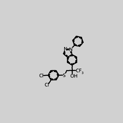 OC(CSc1ccc(Cl)c(Cl)c1)(c1ccc2c(cnn2-c2ccccc2)c1)C(F)(F)F